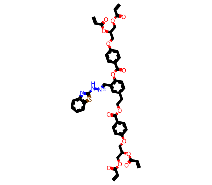 C=CC(=O)OCC(COc1ccc(C(=O)OCCc2ccc(OC(=O)c3ccc(OCC(COC(=O)C=C)OC(=O)C=C)cc3)c(/C=N/Nc3nc4ccccc4s3)c2)cc1)OC(=O)C=C